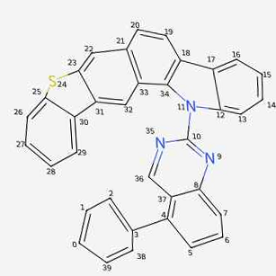 c1ccc(-c2cccc3nc(-n4c5ccccc5c5ccc6cc7sc8ccccc8c7cc6c54)ncc23)cc1